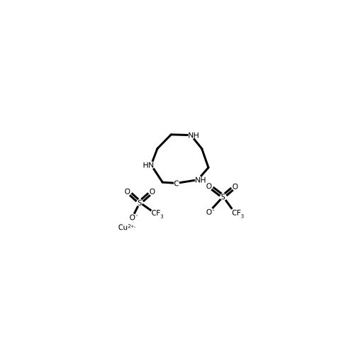 C1CNCCNCCN1.O=S(=O)([O-])C(F)(F)F.O=S(=O)([O-])C(F)(F)F.[Cu+2]